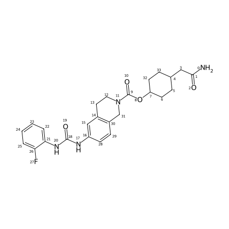 NC(=O)CC1CCC(OC(=O)N2CCc3cc(NC(=O)Nc4ccccc4F)ccc3C2)CC1